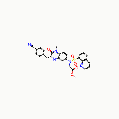 COC(=O)CN(c1ccc2c(c1)nc(Cc1ccc(C#N)cc1)c(=O)n2C)S(=O)(=O)c1cccc2cccnc12